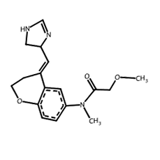 COCC(=O)N(C)c1ccc2c(c1)/C(=C/C1CNC=N1)CCO2